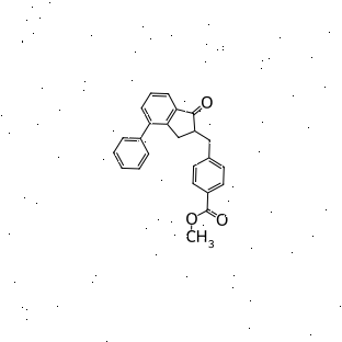 COC(=O)c1ccc(CC2Cc3c(cccc3-c3ccccc3)C2=O)cc1